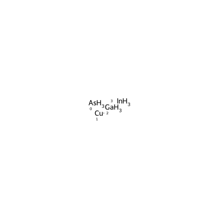 [AsH3].[Cu].[GaH3].[InH3]